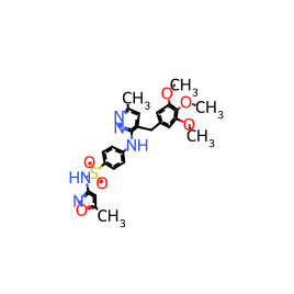 COc1cc(Cc2cc(C)nnc2Nc2ccc(S(=O)(=O)Nc3cc(C)on3)cc2)cc(OC)c1OC